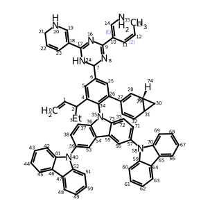 C=CC(CC)c1cc(C2N=C(C(/C=C\C)=C/N)N=C(C3=CNCC=C3)N2)cc(C2=C[C@@H]3CC3C=C2)c1-n1c2ccc(-n3c4ccccc4c4ccccc43)cc2c2cc(-n3c4ccccc4c4ccccc43)ccc21